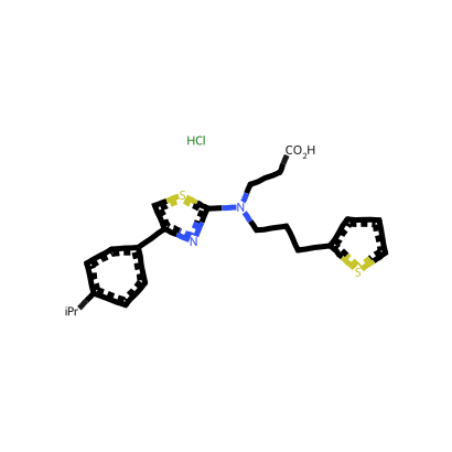 CC(C)c1ccc(-c2csc(N(CCCc3cccs3)CCC(=O)O)n2)cc1.Cl